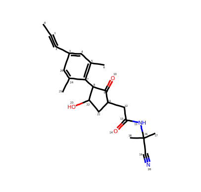 CC#Cc1cc(C)c(C2C(=O)C(CC(=O)NC(C)(C)C#N)CC2O)c(C)c1